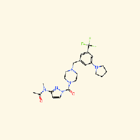 CC(=O)N(C)c1ccn(C(=O)N2CCN(Cc3cc(N4CCCC4)cc(C(F)(F)F)c3)CC2)n1